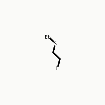 CCSCCF